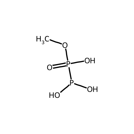 COP(=O)(O)P(O)O